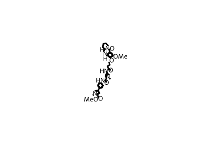 COC(=O)c1cc(-c2ccc(NC(=O)c3cc(NC(=O)CCCOc4cc5c(cc4OC)C(=O)N4CCCC[C@H]4CN5)cn3C)cc2)cn1C